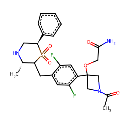 CC(=O)N1CC(OCC(N)=O)(c2cc(F)c(CC3[C@H](C)NC[C@@H](c4ccccc4)S3(=O)=O)cc2F)C1